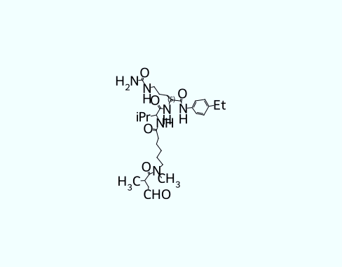 CCc1ccc(NC(=O)[C@H](CCCNC(N)=O)NC(=O)C(NC(=O)CCCCCN(C)C(=O)C(C)CC=O)C(C)C)cc1